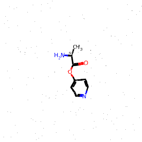 C[C@H](N)C(=O)Oc1ccncc1